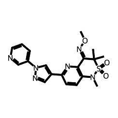 CON=C1c2nc(-c3cnn(-c4cccnc4)c3)ccc2N(C)S(=O)(=O)C1(C)C